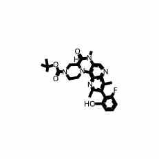 Cc1nc2c3c(cnc2c(C)c1-c1c(O)cccc1F)N(C)C(=O)[C@H]1CN(C(=O)OC(C)(C)C)CCN31